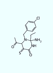 CCC1(N)NC(=O)C(=S)C(C(C)=O)N1Cc1ccc(Cl)cc1